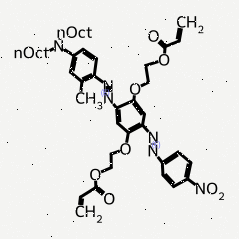 C=CC(=O)OCCOc1cc(/N=N/c2ccc(N(CCCCCCCC)CCCCCCCC)cc2C)c(OCCOC(=O)C=C)cc1/N=N/c1ccc([N+](=O)[O-])cc1